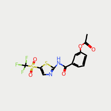 CC(=O)Oc1cccc(C(=O)Nc2ncc(S(=O)(=O)C(F)(F)F)s2)c1